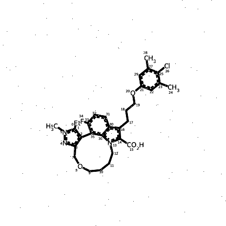 CCc1c2c(nn1C)COCCCCn1c(C(=O)O)c(CCCOc3cc(C)c(Cl)c(C)c3)c3ccc(F)c-2c31